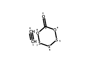 C#C.O=c1ossso1